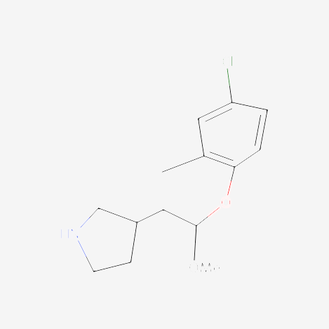 COC(CC1CCNC1)Oc1ccc(Cl)cc1C